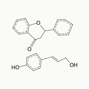 O=C1CC(c2ccccc2)Oc2ccccc21.OCC=Cc1ccc(O)cc1